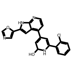 OC1C=C(c2ccnc3[nH]c(-c4cnco4)cc23)C=C(c2ccccc2Cl)N1